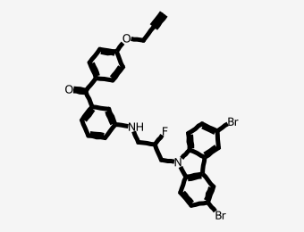 C#CCOc1ccc(C(=O)c2cccc(NCC(F)Cn3c4ccc(Br)cc4c4cc(Br)ccc43)c2)cc1